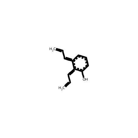 C=CC=c1cccc(O)c1=CC=C